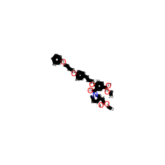 CCOC(=O)CC1CCCN(C(=O)c2cc(C(=O)OCC)ccc2OCCCc2ccc(OCCCCOc3ccccc3)cc2)C1